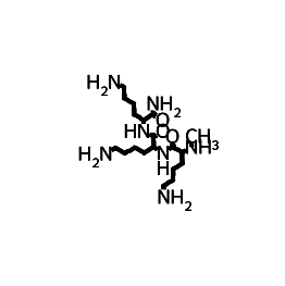 CNC(CCCCN)C(=O)NC(CCCCN)C(=O)NC(CCCCN)C(N)=O